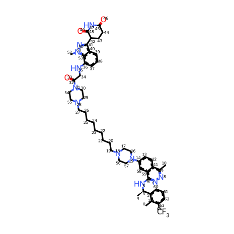 Cc1c([C@@H](C)Nc2nnc(C)c3ccc(N4CCN(CCCCCCCCCN5CCN(C(=O)CNc6cccc7c(C8CCC(=O)NC8=O)nn(C)c67)CC5)CC4)cc23)cccc1C(F)(F)F